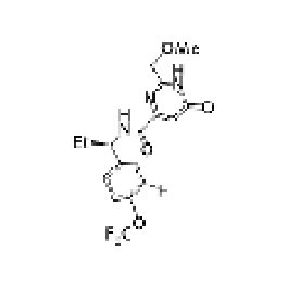 CC[C@@H](NC(=O)c1cc(=O)[nH]c(COC)n1)c1ccc(OC(F)(F)F)c(F)c1